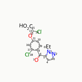 CCn1nccc1C(=O)c1ccc(OC(Cl)C(=O)O)cc1Cl